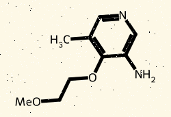 COCCOc1c(C)cncc1N